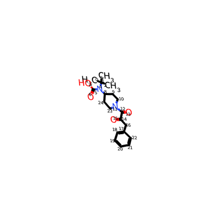 CC(C)(C)N(C(=O)O)C1CCN(C(=O)C(=O)Cc2ccccc2)CC1